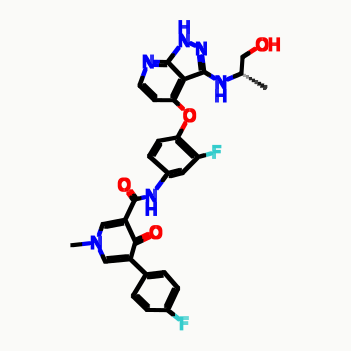 C[C@@H](CO)Nc1n[nH]c2nccc(Oc3ccc(NC(=O)c4cn(C)cc(-c5ccc(F)cc5)c4=O)cc3F)c12